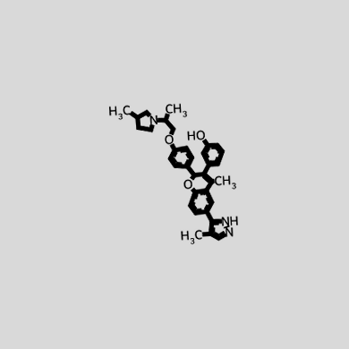 CC1=C(c2cccc(O)c2)C(c2ccc(OCC(C)N3CCC(C)C3)cc2)Oc2ccc(-c3[nH]ncc3C)cc21